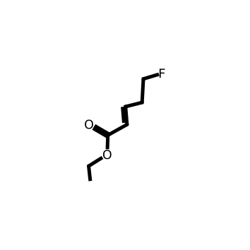 CCOC(=O)C=CCCF